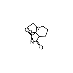 O=C1N=CC(=O)C23OCCN2CCCC13